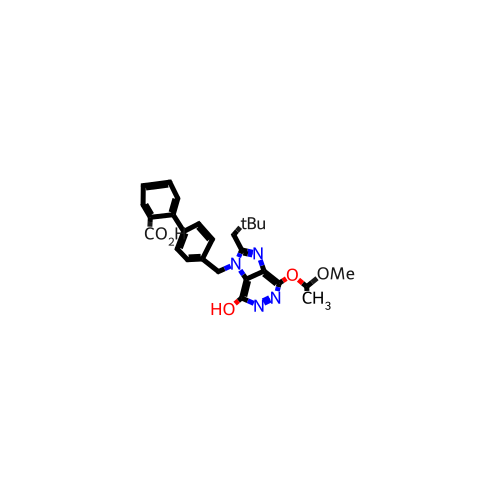 COC(C)Oc1nnc(O)c2c1nc(CC(C)(C)C)n2Cc1ccc(-c2ccccc2C(=O)O)cc1